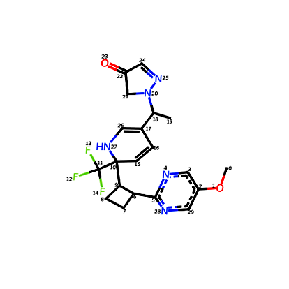 COc1cnc(C2CCC2C2(C(F)(F)F)C=CC(C(C)N3CC(=O)C=N3)=CN2)nc1